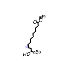 CCCCC(O)C/C=C\CCCCCCCC(=O)OCCC